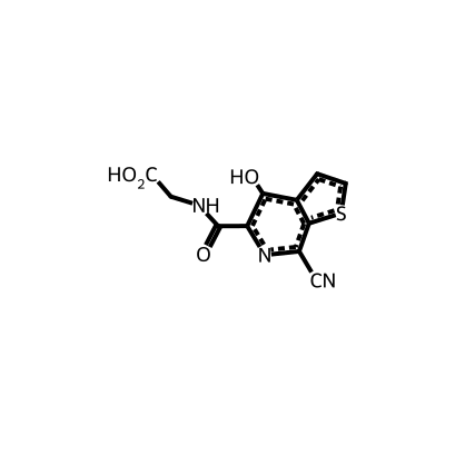 N#Cc1nc(C(=O)NCC(=O)O)c(O)c2ccsc12